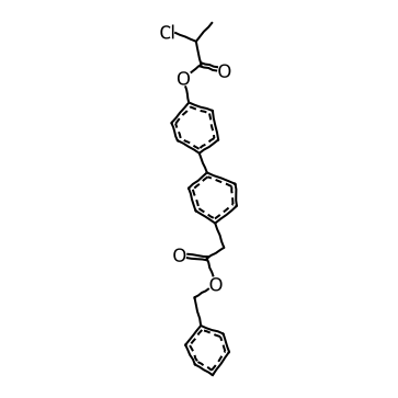 CC(Cl)C(=O)Oc1ccc(-c2ccc(CC(=O)OCc3ccccc3)cc2)cc1